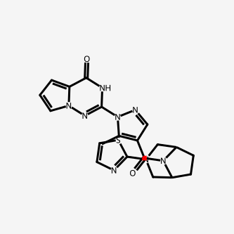 Cc1c(C(=O)N2C3CCC2CN(c2nccs2)C3)cnn1-c1nn2cccc2c(=O)[nH]1